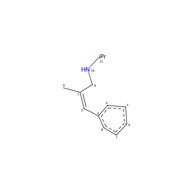 CC(=Cc1ccccc1)CNC(C)C